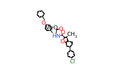 COC(=O)[C@@H](Cc1ccc(OCc2ccccc2)cc1)NC(=O)c1oc2cc(-c3ccc(Cl)cc3)ccc2c1C